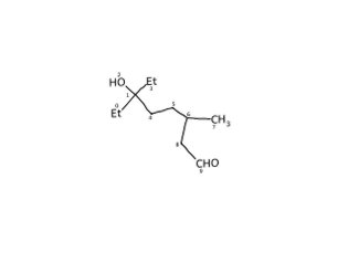 CCC(O)(CC)CCC(C)CC=O